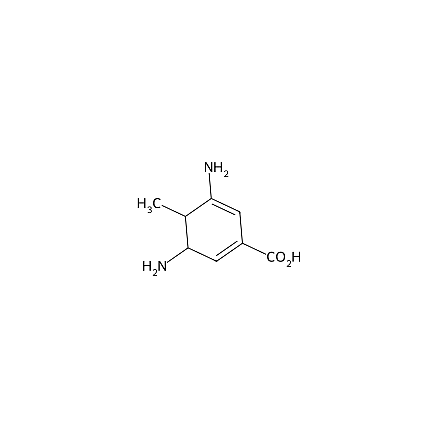 CC1C(N)=CC(C(=O)O)=CC1N